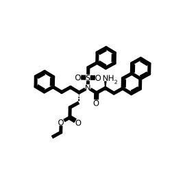 CCOC(=O)CC[C@H](CCc1ccccc1)N(C(=O)[C@@H](N)Cc1ccc2ccccc2c1)S(=O)(=O)Cc1ccccc1